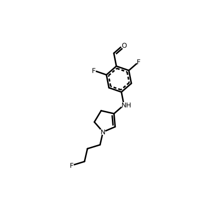 O=Cc1c(F)cc(NC2=CN(CCCF)CC2)cc1F